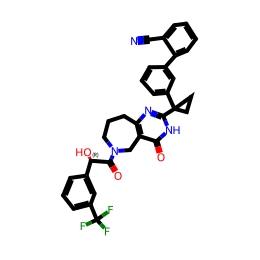 N#Cc1ccccc1-c1cccc(C2(c3nc4c(c(=O)[nH]3)CN(C(=O)[C@H](O)c3cccc(C(F)(F)F)c3)CCC4)CC2)c1